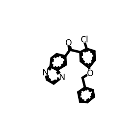 O=C(c1ccc2nccnc2c1)c1cc(OCc2ccccc2)ccc1Cl